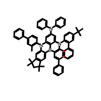 Cc1cc(-c2ccccc2)ccc1N1c2cc3c(cc2B2c4cc(-c5ccccc5)ccc4N(c4ccc(C(C)(C)C)cc4-c4ccccc4)c4cc(N(c5ccccc5)c5ccccc5)cc1c42)C(C)(C)CC3(C)C